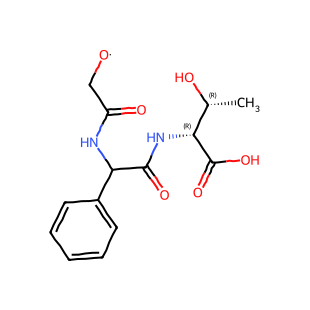 C[C@@H](O)[C@@H](NC(=O)C(NC(=O)C[O])c1ccccc1)C(=O)O